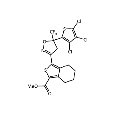 COC(=O)c1sc(C2=NOC(c3sc(Cl)c(Cl)c3Cl)(C(F)(F)F)C2)c2c1CCCC2